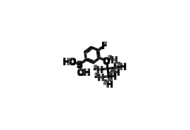 [2H]C([2H])([2H])C([2H])(Oc1cc(B(O)O)ccc1F)C([2H])([2H])[2H]